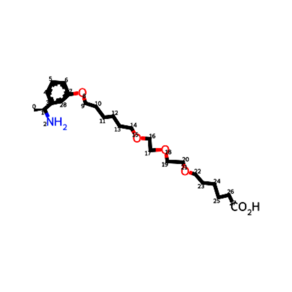 C[C@H](N)c1cccc(OCCCCCCOCCOCCOCCCCCC(=O)O)c1